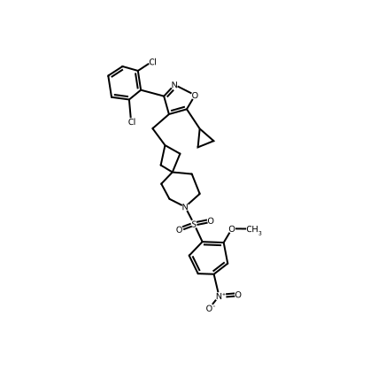 COc1cc([N+](=O)[O-])ccc1S(=O)(=O)N1CCC2(CC1)CC(Cc1c(-c3c(Cl)cccc3Cl)noc1C1CC1)C2